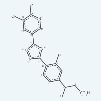 Cc1cc(C(C)CC(=O)O)ccc1-c1noc(-c2cnc(C)c(Cl)c2)n1